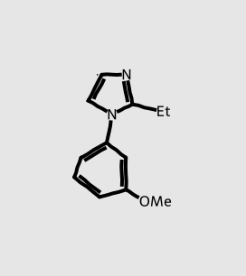 CCc1n[c]cn1-c1cccc(OC)c1